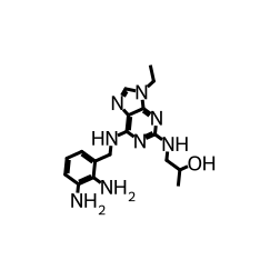 CCn1cnc2c(NCc3cccc(N)c3N)nc(NCC(C)O)nc21